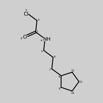 O=C(CCl)NCCCC1CCCC1